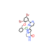 O=C1NCCn2nc(-c3ccnc(-c4cc(Br)cc(Br)c4OCc4ccccc4Cl)n3)cc21